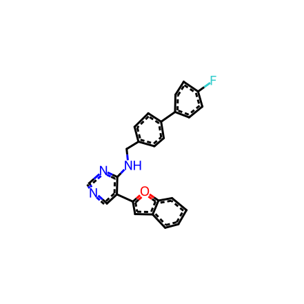 Fc1ccc(-c2ccc(CNc3ncncc3-c3cc4ccccc4o3)cc2)cc1